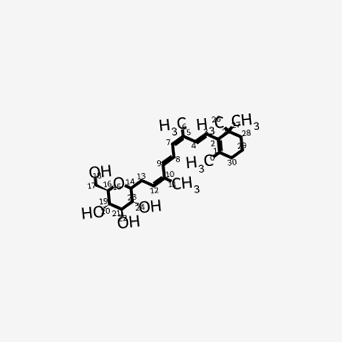 CC1=C(/C=C/C(C)=C\C=C\C(C)=C/CC2O[C@H](CO)[C@@H](O)[C@H](O)[C@H]2O)C(C)(C)CCC1